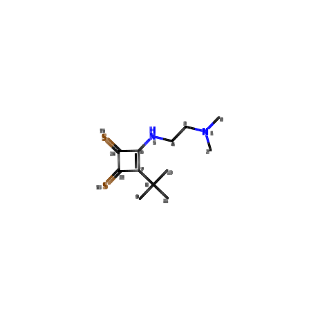 CN(C)CCNc1c(C(C)(C)C)c(=S)c1=S